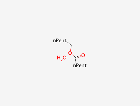 CCCCCCOC(=O)CCCCC.O